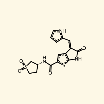 O=C1Nc2sc(C(=O)N[C@@H]3CCS(=O)(=O)C3)cc2/C1=C\c1ccc[nH]1